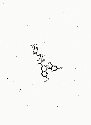 C/C(=C\c1ccc(OC(C)C)cc1Oc1ncc(C(F)(F)F)cc1Cl)C(=O)NS(=O)(=O)NCc1cnc(C)cn1